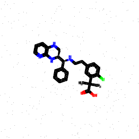 CC(C)(C(=O)O)c1cc(CCN[C@H](c2ccccc2)[C@H]2CNc3cccnc3N2)ccc1Cl